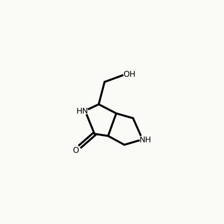 O=C1NC(CO)C2CNCC12